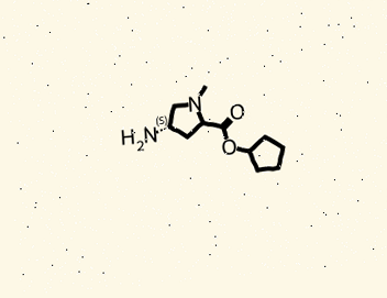 CN1C[C@@H](N)CC1C(=O)OC1CCCC1